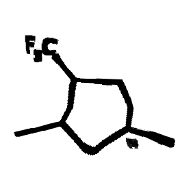 CC1C[C@H](C)CC1C(F)(F)F